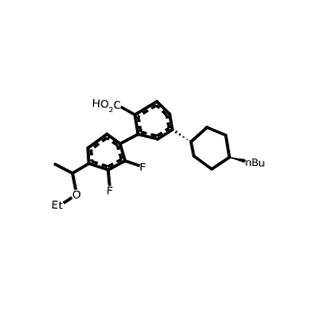 CCCC[C@H]1CC[C@H](c2ccc(C(=O)O)c(-c3ccc(C(C)OCC)c(F)c3F)c2)CC1